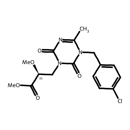 COC(=O)[C@H](Cn1c(=O)nc(C)n(Cc2ccc(Cl)cc2)c1=O)OC